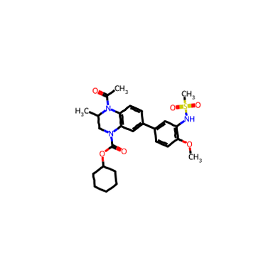 COc1ccc(-c2ccc3c(c2)N(C(=O)OC2CCCCC2)CC(C)N3C(C)=O)cc1NS(C)(=O)=O